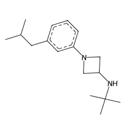 CC(C)Cc1cccc(N2CC(NC(C)(C)C)C2)c1